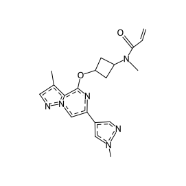 C=CC(=O)N(C)C1CC(Oc2nc(-c3cnn(C)c3)cn3ncc(C)c23)C1